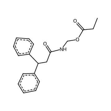 CCC(=O)OCNC(=O)CC(c1ccccc1)c1ccccc1